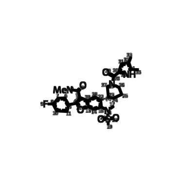 CNC(=O)c1c(-c2ccc(F)cc2)oc2cc(N(C)S(C)(=O)=O)c([C@H]3CCCN(C(=O)c4cc(C)c(C)[nH]4)C3)cc12